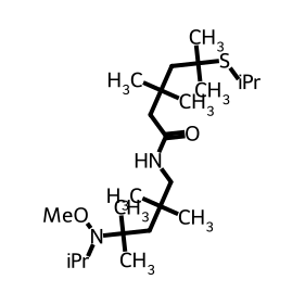 CON(C(C)C)C(C)(C)CC(C)(C)CNC(=O)CC(C)(C)CC(C)(C)SC(C)C